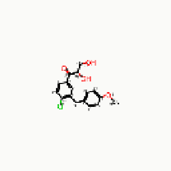 CCOc1ccc(Cc2cc(C(=O)[C@H](O)CO)ccc2Cl)cc1